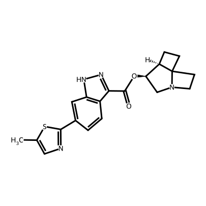 Cc1cnc(-c2ccc3c(C(=O)O[C@@H]4CN5CCC56CC[C@H]46)n[nH]c3c2)s1